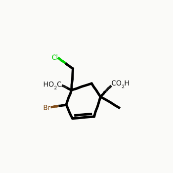 CC1(C(=O)O)C=CC(Br)C(CCl)(C(=O)O)C1